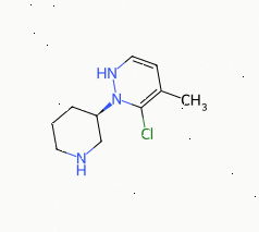 CC1=C(Cl)N([C@@H]2CCCNC2)NC=C1